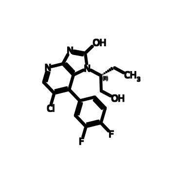 CC[C@H](CO)n1c(O)nc2ncc(Cl)c(-c3ccc(F)c(F)c3)c21